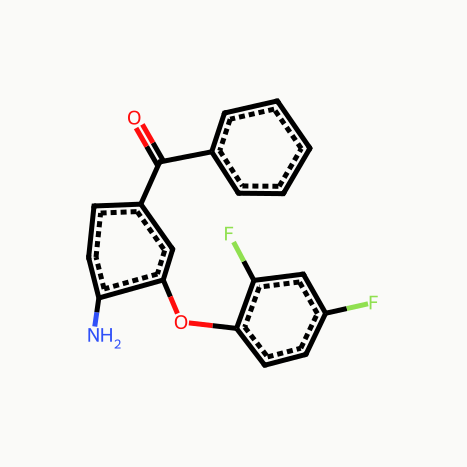 Nc1ccc(C(=O)c2ccccc2)cc1Oc1ccc(F)cc1F